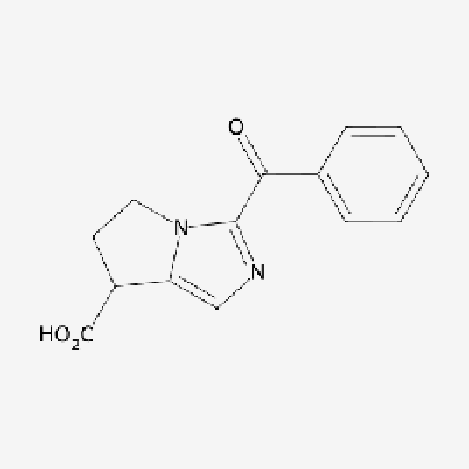 O=C(c1ccccc1)c1ncc2n1CCC2C(=O)O